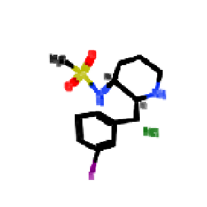 CS(=O)(=O)N[C@H]1CCCN[C@H]1Cc1cccc(I)c1.Cl